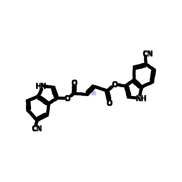 N#Cc1ccc2[nH]cc(OC(=O)/C=C/C(=O)Oc3c[nH]c4ccc(C#N)cc34)c2c1